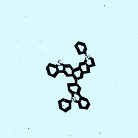 c1ccc(-n2ccc3cc4cc(-c5ccc6c(c5)c5ccccc5n6-c5ccccc5)c5cc6c(cc5c4cc32)sc2ccccc26)cc1